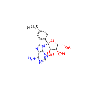 Nc1ncnc2c1ncn2[C@]1(c2ccc(S(=O)(=O)O)cc2)O[C@H](CO)[C@@H](O)[C@H]1O